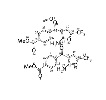 C=O.COC(=O)c1ccc(C(=O)c2cc(C(F)(F)F)oc2N)cc1.COC(=O)c1ccc(C(=O)c2cc(C(F)(F)F)oc2N)cc1